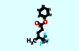 CC(CCC(=O)Oc1ccccc1)C(F)(F)F